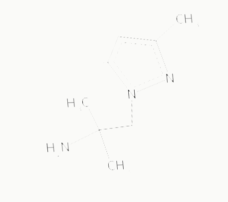 Cc1c[c]n(CC(C)(C)N)n1